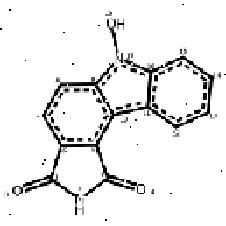 O=C1NC(=O)c2c1ccc1c2c2ccccc2n1O